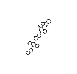 CC1(C)c2ccccc2-c2ccc3sc4cc(-c5ccc6cc(-c7c8ccccc8c(-c8ccc9ccccc9c8)c8ccccc78)ccc6c5)c5ccccc5c4c3c21